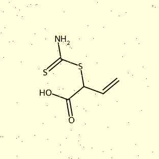 C=CC(SC(N)=S)C(=O)O